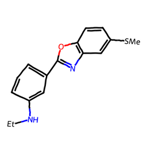 CCNc1cccc(-c2nc3cc(SC)ccc3o2)c1